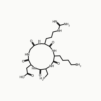 BCCCCC1NC(=O)C(CCCNC(=N)N)NC(=O)CNC(=O)C(CC(=O)O)NC(=O)C(CP)NC1=O